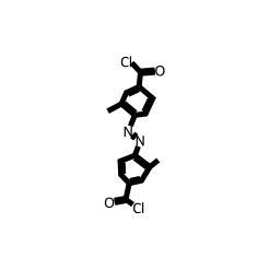 Cc1cc(C(=O)Cl)ccc1N=Nc1ccc(C(=O)Cl)cc1C